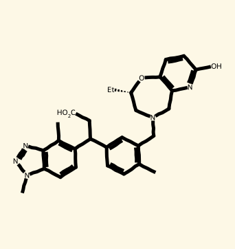 CC[C@H]1CN(Cc2cc(C(CC(=O)O)c3ccc4c(nnn4C)c3C)ccc2C)Cc2nc(O)ccc2O1